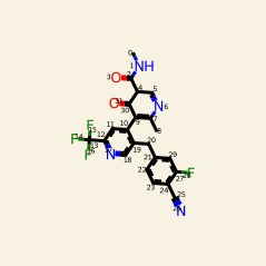 CNC(=O)C1C=NC(C)=C(c2cc(C(F)(F)F)ncc2Cc2ccc(C#N)c(F)c2)C1=O